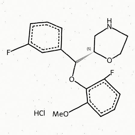 COc1cccc(F)c1OC(c1cccc(F)c1)[C@@H]1CNCCO1.Cl